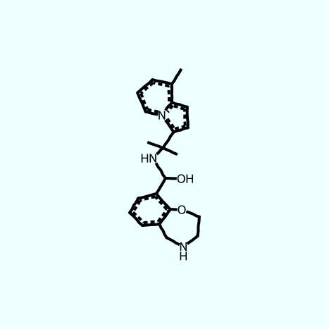 Cc1cccn2c(C(C)(C)NC(O)c3cccc4c3OCCNC4)ccc12